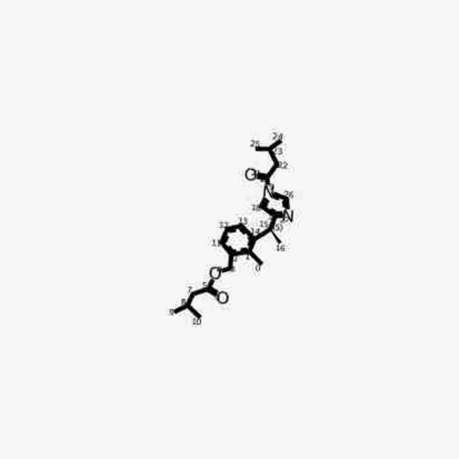 Cc1c(COC(=O)CC(C)C)cccc1[C@H](C)c1cn(C(=O)CC(C)C)cn1